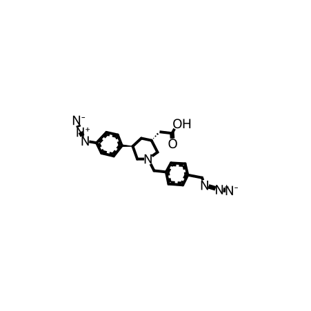 [N-]=[N+]=NCc1ccc(CN2C[C@@H](CC(=O)O)C[C@H](c3ccc(N=[N+]=[N-])cc3)C2)cc1